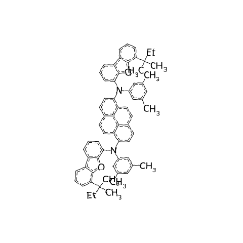 CCC(C)(C)c1cccc2c1oc1c(N(c3cc(C)cc(C)c3)c3ccc4ccc5c(N(c6cc(C)cc(C)c6)c6cccc7c6oc6c(C(C)(C)CC)cccc67)ccc6ccc3c4c65)cccc12